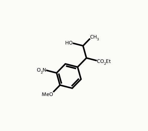 CCOC(=O)C(c1ccc(OC)c([N+](=O)[O-])c1)C(C)O